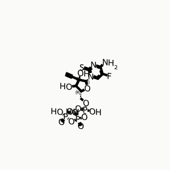 C#C[C@@]1(O)C(O)[C@@H](COP(=O)(O)OP(=O)(O)OP(=O)(O)O)O[C@H]1n1cc(F)c(N)nc1=S